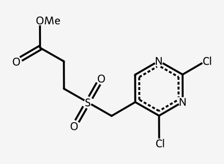 COC(=O)CCS(=O)(=O)Cc1cnc(Cl)nc1Cl